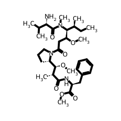 CC[C@H](C)[C@@H](C(CC(=O)N1CCC[C@H]1[C@H](OC)[C@@H](C)C(=O)N[C@@H](Cc1ccccc1)C(=O)OC)OC)N(C)C(=O)[C@@H](N)C(C)C